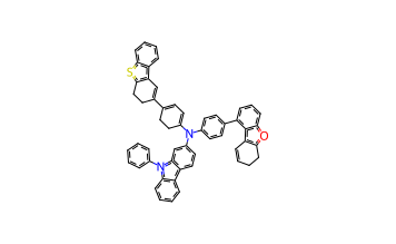 C1=Cc2c(oc3cccc(-c4ccc(N(C5=CC=C(C6=Cc7c(sc8ccccc78)CC6)CC5)c5ccc6c7ccccc7n(-c7ccccc7)c6c5)cc4)c23)CC1